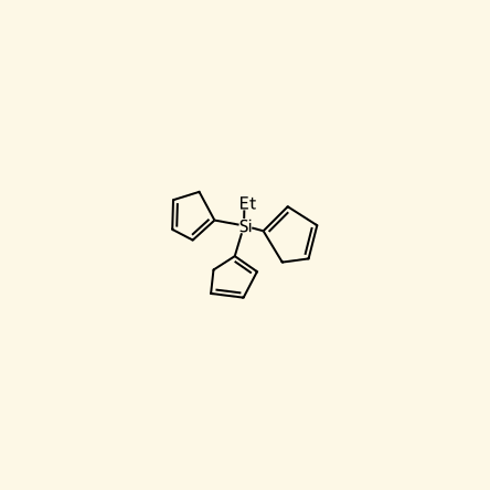 CC[Si](C1=CC=CC1)(C1=CC=CC1)C1=CC=CC1